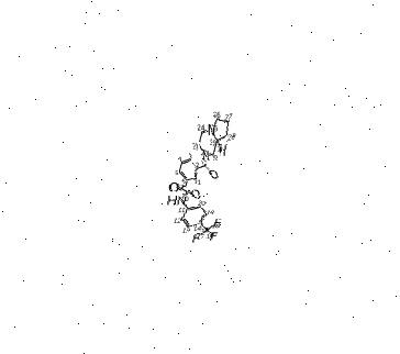 O=C(c1cccc(S(=O)(=O)Nc2ccc(C(F)(F)F)cc2)c1)N1CCN2CCC[C@@H]2C1